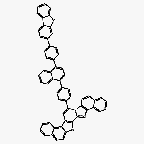 c1ccc2c(c1)ccc1c2nc2c3sc4ccc5ccccc5c4c3cc(-c3ccc(-c4ccc(-c5ccc(-c6ccc7c(c6)sc6ccccc67)cc5)c5ccccc45)cc3)n12